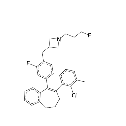 Cc1cccc(C2=C(c3ccc(CC4CN(CCCF)C4)c(F)c3)c3ccccc3CCC2)c1Cl